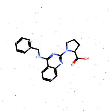 O=C(O)C1CCCN1c1nc(NCc2ccccc2)c2ccccc2n1